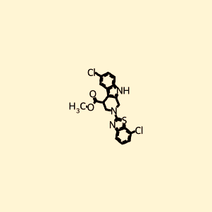 COC(=O)C1CN(c2nc3cccc(Cl)c3s2)Cc2[nH]c3ccc(Cl)cc3c21